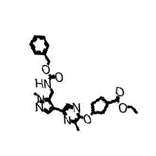 CCOC(=O)C1CCC(Oc2ncc(-c3cnn(C)c3CNC(=O)OCc3ccccc3)nc2C)C1